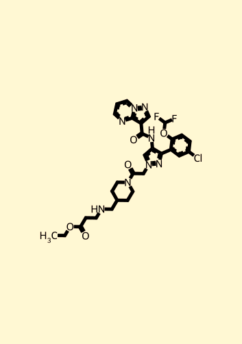 CCOC(=O)CCNCC1CCN(C(=O)Cn2cc(NC(=O)c3cnn4cccnc34)c(-c3cc(Cl)ccc3OC(F)F)n2)CC1